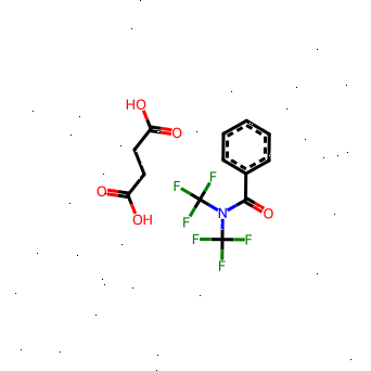 O=C(O)CCC(=O)O.O=C(c1ccccc1)N(C(F)(F)F)C(F)(F)F